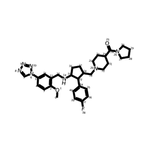 COc1ccc(-n2cnnn2)cc1CNC1CCC(CN2CCC(C(=O)N3CCCC3)CC2)C1c1ccc(F)cc1